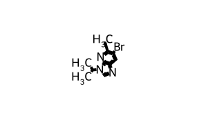 CCc1nc2c(cc1Br)ncn2C(C)C